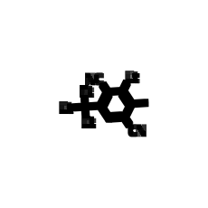 CCc1c(C)c(C#N)cc(C(CC)(CC)CC)c1C#N